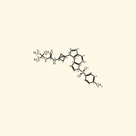 Cc1ccc(S(=O)(=O)n2ccc3c4c(cnc32)ncn4C23CC(NC(=O)OC(C)(C)C)(C2)C3)cc1